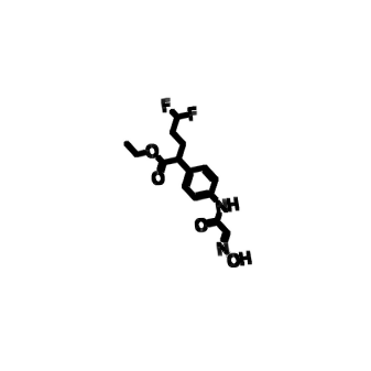 CCOC(=O)C(CCC(F)F)c1ccc(NC(=O)C=NO)cc1